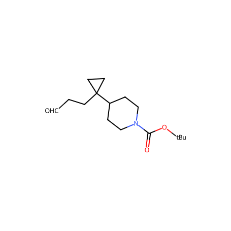 CC(C)(C)OC(=O)N1CCC(C2(CCC=O)CC2)CC1